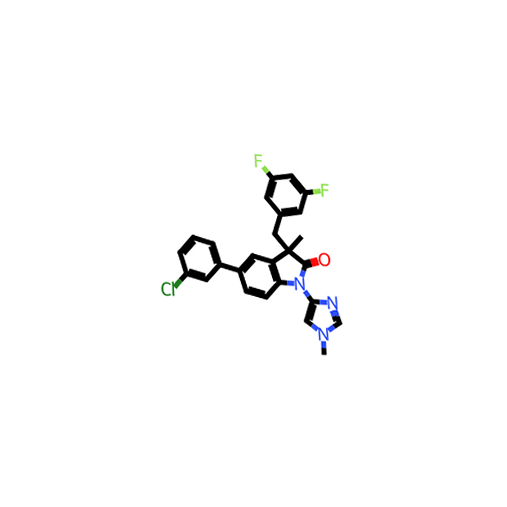 Cn1cnc(N2C(=O)C(C)(Cc3cc(F)cc(F)c3)c3cc(-c4cccc(Cl)c4)ccc32)c1